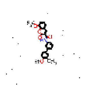 CCOc1ccc(-c2cccc(NC(=O)c3cc4cccc(OC(F)(F)F)c4oc3=O)c2)cc1C